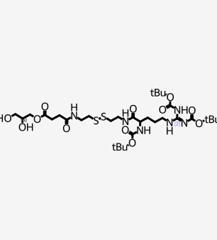 CC(C)(C)OC(=O)/N=C(/NCCCC(NC(=O)OC(C)(C)C)C(=O)NCCSSCCNC(=O)CCC(=O)OC[C@@H](O)CO)NC(=O)OC(C)(C)C